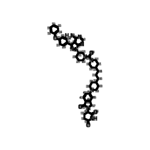 Nc1ncnc2c1c(-c1ccc(Oc3ccccc3)cc1)nn2[C@@H]1CCCN(C(=O)N2CCC(CCCC3CCN(c4ccc5c(c4)CN(C4CCC(=O)NC4=O)C5=O)CC3)CC2)C1